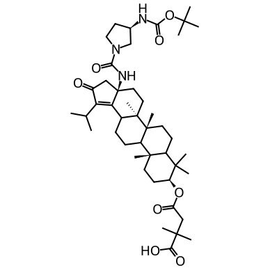 CC(C)C1=C2C3CCC4[C@@]5(C)CC[C@H](OC(=O)CC(C)(C)C(=O)O)C(C)(C)C5CC[C@@]4(C)[C@]3(C)CC[C@@]2(NC(=O)N2CC[C@@H](NC(=O)OC(C)(C)C)C2)CC1=O